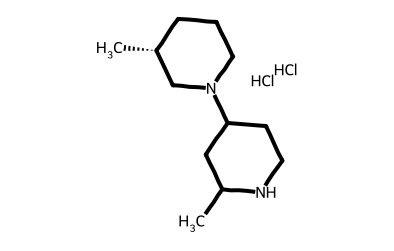 CC1CC(N2CCC[C@@H](C)C2)CCN1.Cl.Cl